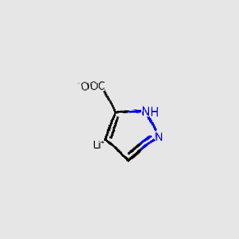 O=C([O-])c1ccn[nH]1.[Li+]